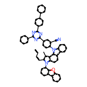 C=C/C=C\c1c(C)c2c(ccc3c4ccccc4n(-c4ccc(-c5nc(-c6ccccc6)nc(-c6ccc(-c7ccccc7)cc6)n5)cc4C#N)c32)n1-c1cccc2c1oc1ccccc12